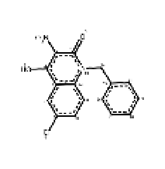 O=c1c([N+](=O)[O-])c(O)c2cc(Cl)ccc2n1Cc1ccccc1